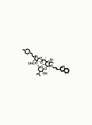 CC[C@@H](OC(=O)[C@H](C)C(=O)[C@H](C)[C@@H](O[C@@H]1O[C@H](C)C[C@H](N(C)C)[C@H]1O)[C@@](C)(C[C@@H](C)C(C)=O)OC/C=C/c1cnc2ccccc2c1)[C@@](C)(OC=O)[C@@H](C)N(C)CCN1CCN(C)CC1